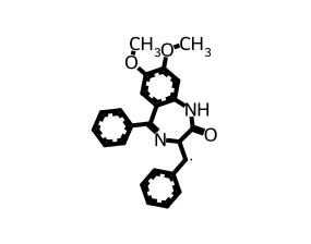 COc1cc2c(cc1OC)C(c1ccccc1)=NC([CH]c1ccccc1)C(=O)N2